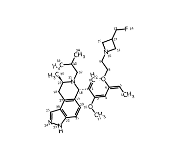 C=C(/C(=C\C(=C/C)OCCN1CC(CF)C1)OC)[C@@H]1c2ccc3[nH]ncc3c2C[C@@H](C)N1CC(C)C